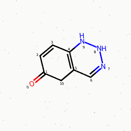 O=C1C=CC2=C(C=NNN2)C1